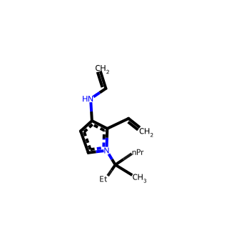 C=CNc1ccn(C(C)(CC)CCC)c1C=C